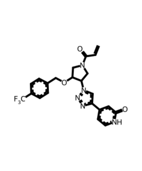 C=CC(=O)N1CC(OCc2ccc(C(F)(F)F)cc2)C(n2cc(-c3cc[nH]c(=O)c3)nn2)C1